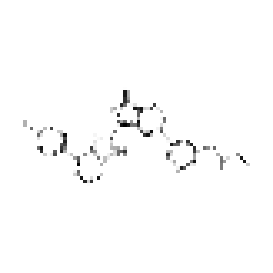 CCNCc1cncc(-c2cnc3[nH]nc(-c4nc5c(-c6ccc(F)cc6)cccc5[nH]4)c3c2)c1